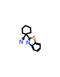 N#CC1(c2nc3ccccc3s2)CCCCC1